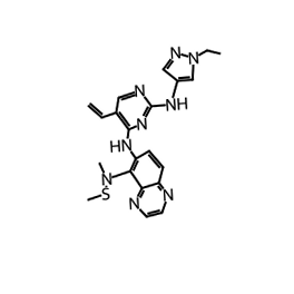 C=Cc1cnc(Nc2cnn(CC)c2)nc1Nc1ccc2nccnc2c1N(C)SC